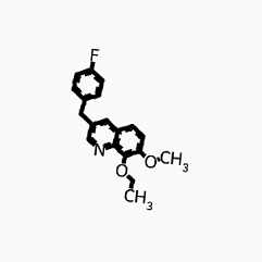 CCOc1c(OC)ccc2cc(Cc3ccc(F)cc3)cnc12